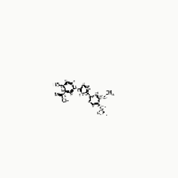 COc1ccc(-c2nc(-c3ccc(O)c(C(=O)O)c3)cs2)cc1OC